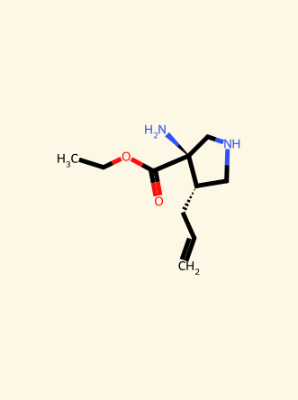 C=CC[C@H]1CNC[C@@]1(N)C(=O)OCC